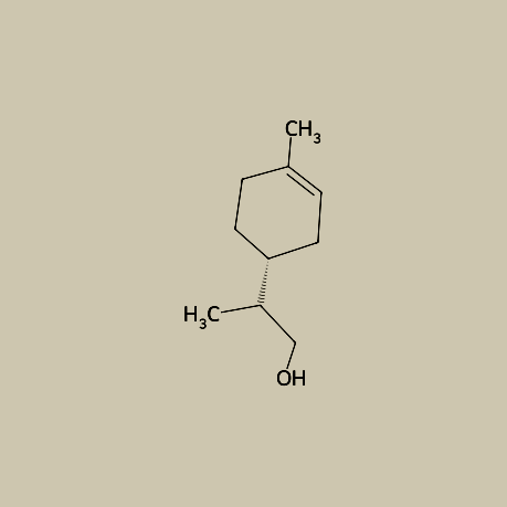 CC1=CC[C@H](C(C)CO)CC1